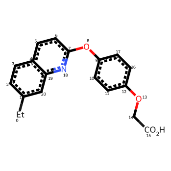 CCc1ccc2ccc(Oc3ccc(OCC(=O)O)cc3)nc2c1